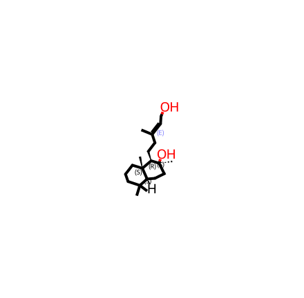 C/C(=C\CO)CC[C@@H]1[C@@]2(C)CCCC(C)(C)[C@@H]2CC[C@]1(C)O